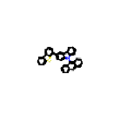 c1ccc2c(-n3c4ccccc4c4cc(-c5cccc6c5sc5ccccc56)ccc43)c3ccccc3cc2c1